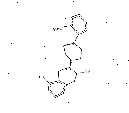 COc1ccccc1N1CCN([C@@H]2Cc3c(O)cccc3C[C@H]2O)CC1